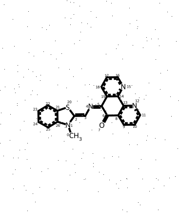 CN1/C(=C/N=C2\C(=O)c3cccnc3-c3ncccc32)Sc2ccccc21